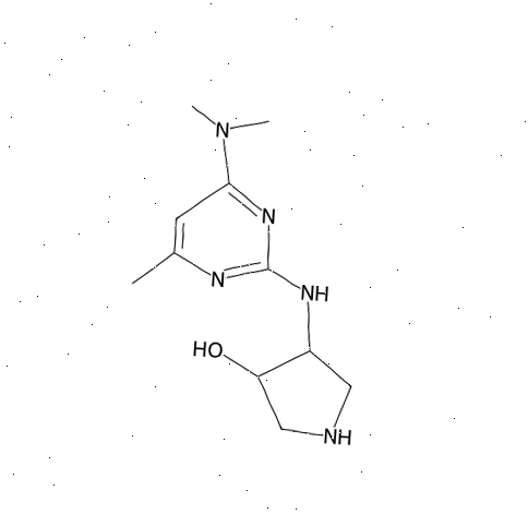 Cc1cc(N(C)C)nc(NC2CNCC2O)n1